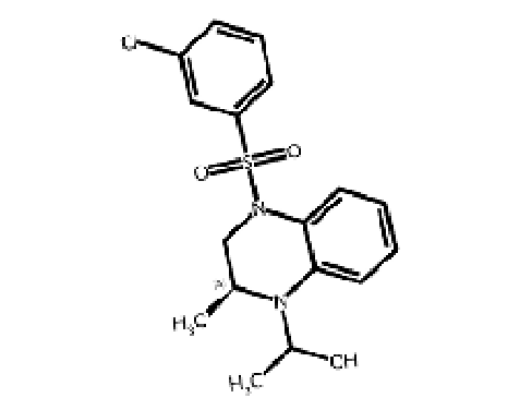 CC(O)N1c2ccccc2N(S(=O)(=O)c2cccc(Cl)c2)C[C@@H]1C